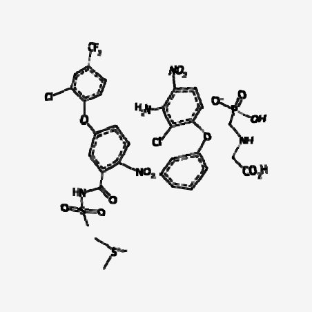 CS(=O)(=O)NC(=O)c1cc(Oc2ccc(C(F)(F)F)cc2Cl)ccc1[N+](=O)[O-].C[S+](C)C.Nc1c([N+](=O)[O-])ccc(Oc2ccccc2)c1Cl.O=C(O)CNCP(=O)([O-])O